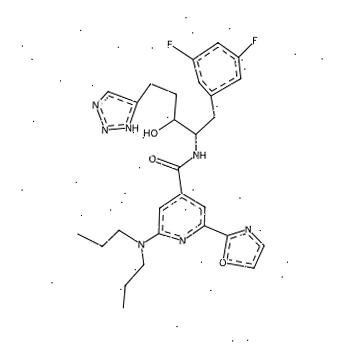 CCCN(CCC)c1cc(C(=O)NC(Cc2cc(F)cc(F)c2)C(O)CCc2cnn[nH]2)cc(-c2ncco2)n1